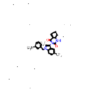 O=C(O)c1c(-n2c(=O)[nH]c3ccccc3c2=O)c2cc(C(F)(F)F)ccc2n1Cc1cccc([N+](=O)[O-])c1